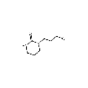 [O]CCCN1CCCNC1=O